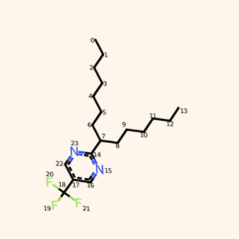 CCCCCCCC(CCCCCC)c1ncc(C(F)(F)F)cn1